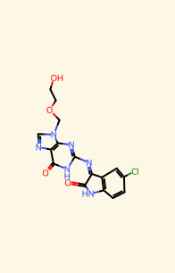 O=C1Nc2ccc(Cl)cc2/C1=N/c1nc2c(ncn2COCCO)c(=O)[nH]1